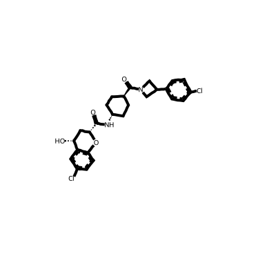 O=C(N[C@H]1CC[C@H](C(=O)N2CC(c3ccc(Cl)cc3)C2)CC1)[C@H]1C[C@@H](O)c2cc(Cl)ccc2O1